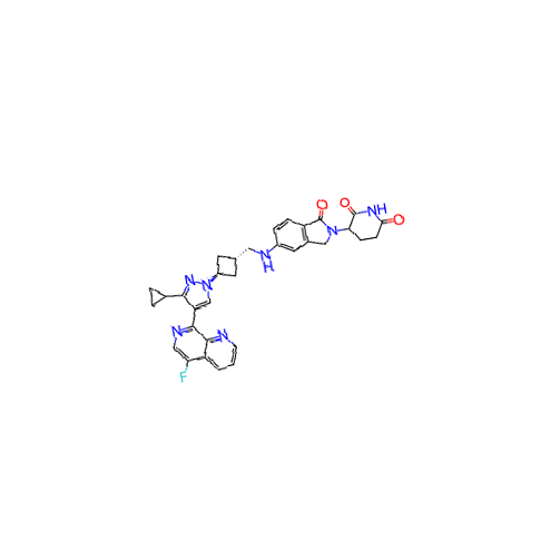 O=C1CCC(N2Cc3cc(NC[C@H]4C[C@H](n5cc(-c6ncc(F)c7cccnc67)c(C6CC6)n5)C4)ccc3C2=O)C(=O)N1